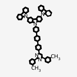 Cc1cccc(-c2cc(-c3ccc(-c4ccc(-c5ccc(-n6c7ccc(-n8c9c(c%10ccccc%108)C=CCC9)cc7c7cc(-n8c9ccccc9c9ccccc98)ccc76)cc5)cc4)cc3)nc(-c3cccc(C)c3)n2)c1